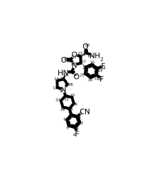 N#Cc1cc(F)ccc1C1CCC(N2CC[C@@H](NC(=O)N3C(=O)O[C@@H](C(N)=O)[C@@H]3c3ccc(F)c(F)c3)C2)CC1